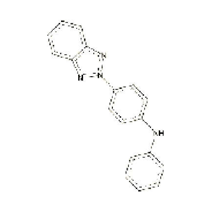 c1ccc(Nc2ccc(-n3nc4ccccc4n3)cc2)cc1